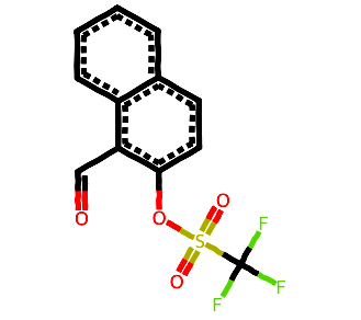 O=Cc1c(OS(=O)(=O)C(F)(F)F)ccc2ccccc12